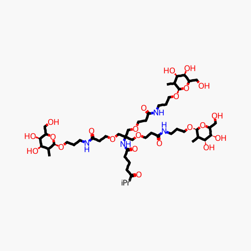 CC(C)C(=O)CCCC(=O)NC(COCCC(=O)NCCCO[C@@H]1OC(CO)[C@H](O)[C@H](O)C1C)(COCCC(=O)NCCCO[C@@H]1OC(CO)[C@H](O)[C@H](O)C1C)COCCC(=O)NCCCO[C@@H]1OC(CO)[C@H](O)[C@H](O)C1C